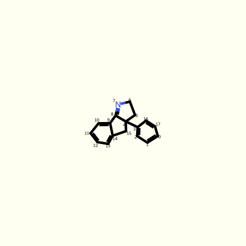 c1ccc(C23CCN=C2c2ccccc2C3)cc1